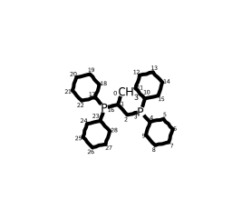 CC(CP(C1CCCCC1)C1CCCCC1)P(C1CCCCC1)C1CCCCC1